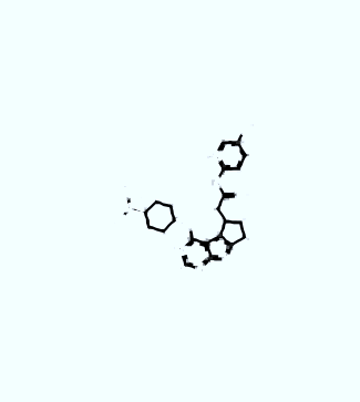 CN(C)[C@H]1CC[C@H](Oc2ncnc3sc4c(c23)C(CC(=O)Nc2ccc(F)cn2)CC4)CC1